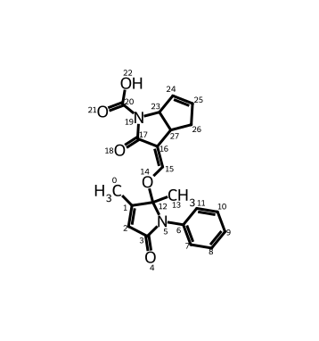 CC1=CC(=O)N(c2ccccc2)C1(C)OC=C1C(=O)N(C(=O)O)C2C=CCC12